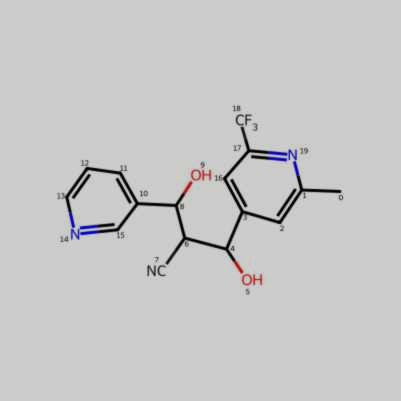 Cc1cc(C(O)C(C#N)C(O)c2cccnc2)cc(C(F)(F)F)n1